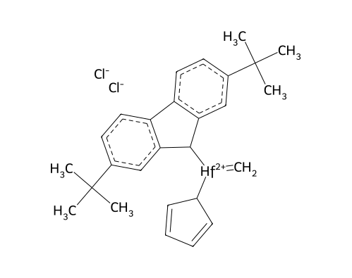 [CH2]=[Hf+2]([CH]1C=CC=C1)[CH]1c2cc(C(C)(C)C)ccc2-c2ccc(C(C)(C)C)cc21.[Cl-].[Cl-]